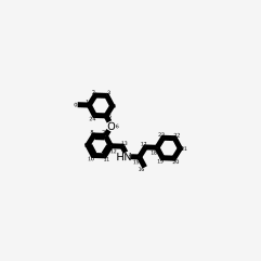 CC1CCCC(Oc2ccccc2CNC(C)CC2CCCCC2)C1